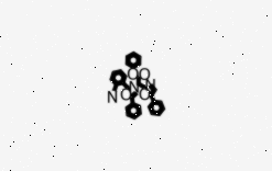 N#Cc1ccccc1-c1ncc(-c2ccccc2)o1.O=C(Cc1ncc(-c2ccccc2)o1)Oc1ccccc1